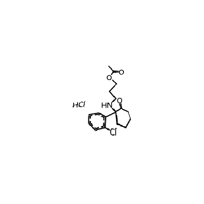 CC(=O)OCCCNC1(c2ccccc2Cl)CCCCC1=O.Cl